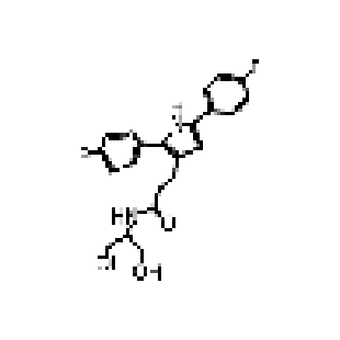 O=C(CCc1cc(-c2ccc(F)cc2)[nH]c1-c1ccc(F)cc1)NC(CO)CO